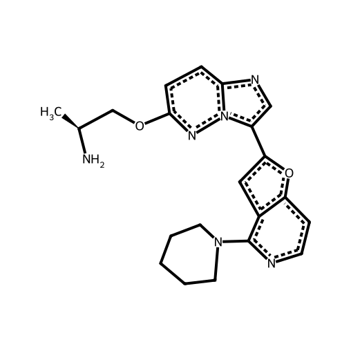 C[C@H](N)COc1ccc2ncc(-c3cc4c(N5CCCCC5)nccc4o3)n2n1